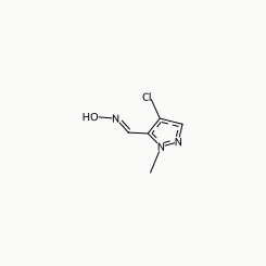 Cn1ncc(Cl)c1/C=N/O